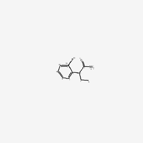 CCC(C(N)=O)c1ccccc1F